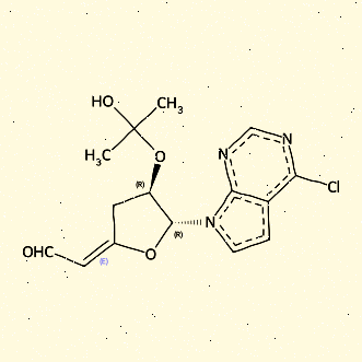 CC(C)(O)O[C@@H]1C/C(=C\C=O)O[C@H]1n1ccc2c(Cl)ncnc21